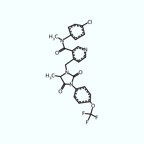 CC1C(=O)N(c2ccc(OC(F)(F)F)cc2)C(=O)N1Cc1ccncc1C(=O)N(C)c1ccc(Cl)cc1